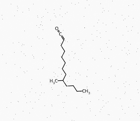 CCCCC(C)CCCCCCC=C=O